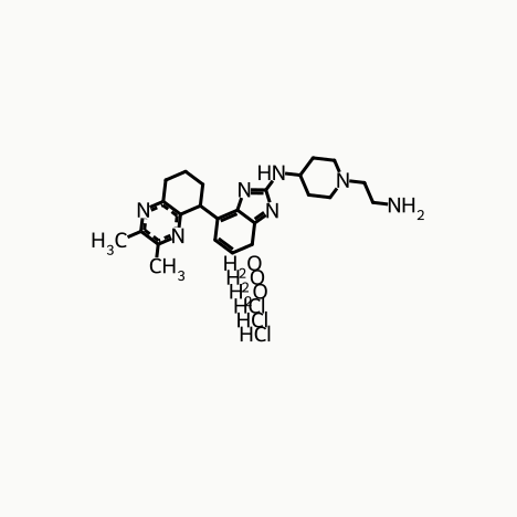 Cc1nc2c(nc1C)C(C1=C3N=C(NC4CCN(CCN)CC4)N=C3CC=C1)CCC2.Cl.Cl.Cl.O.O.O